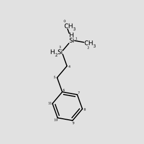 C[SiH](C)[SiH2]CCc1ccccc1